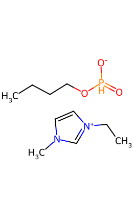 CCCCO[PH](=O)[O-].CC[n+]1ccn(C)c1